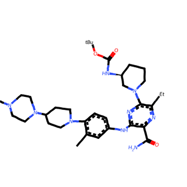 CCc1nc(C(N)=O)c(Nc2ccc(N3CCC(N4CCN(C)CC4)CC3)c(C)c2)nc1N1CCC[C@H](NC(=O)OC(C)(C)C)C1